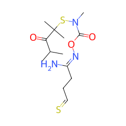 CC(C)C(=O)C(C)(C)SN(C)C(=O)ON=C(N)CCC=S